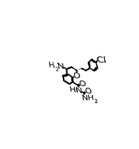 NC(=O)NC(=O)c1cccc2c1O[C@@H](CCc1ccc(Cl)cc1)CC2N